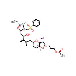 C=C(C(O)C[C@@H]1O[C@H](C[C@H](C)CC)[C@H](C)[C@H]1CS(=O)(=O)c1ccccc1)[C@H](C)CC1CC[C@@H]2O[C@@H](CCCOC(=O)C(C)(C)C)C[C@]2(CI)O1